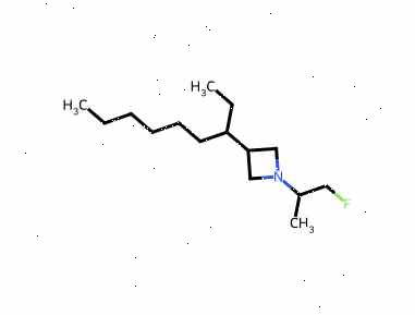 CCCCCCC(CC)C1CN(C(C)CF)C1